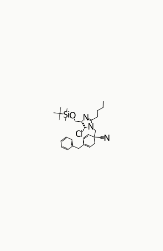 CCCCc1nc(CO[Si](C)(C)C(C)(C)C)c(Cl)n1CC1(C#N)C=CC(Cc2ccccc2)=CC1